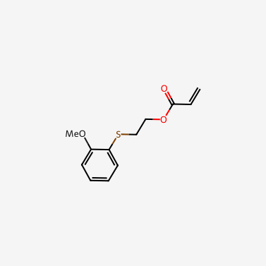 C=CC(=O)OCCSc1ccccc1OC